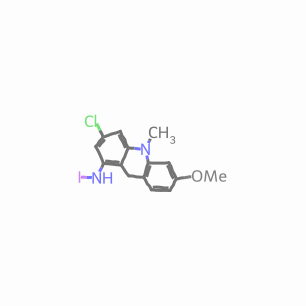 COc1ccc2c(c1)N(C)c1cc(Cl)cc(NI)c1C2